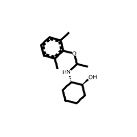 Cc1cccc(C)c1OC(C)N[C@H]1CCCC[C@@H]1O